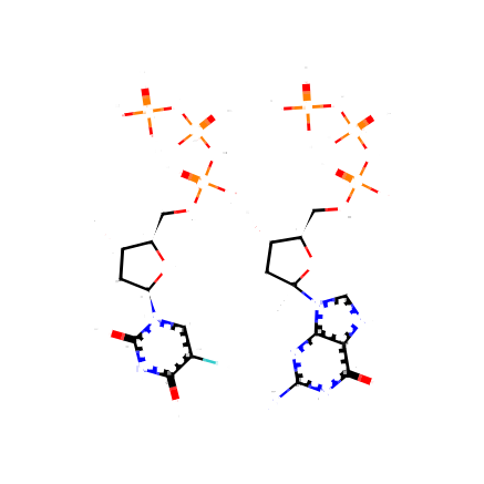 C[C@]1(n2cnc3c(=O)[nH]c(N)nc32)C[C@H](O)[C@@H](COP(=O)(O)OP(=O)(O)OP(=O)(O)O)O1.O=c1[nH]c(=O)n([C@H]2C[C@H](O)[C@@H](COP(=O)(O)OP(=O)(O)OP(=O)(O)O)O2)cc1F